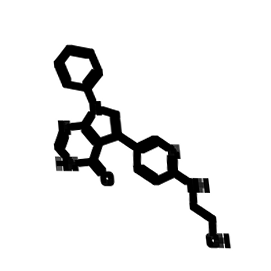 O=c1[nH]cnc2c1c(-c1ccc(NCCO)nc1)cn2-c1ccccc1